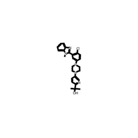 Cn1c(-c2cc(N3CCN(c4ccc(C(C)(C)O)nc4)CC3)ccc2Cl)nc2ccccc21